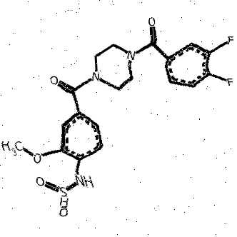 COc1cc(C(=O)N2CCN(C(=O)c3ccc(F)c(F)c3)CC2)ccc1N[SH](=O)=O